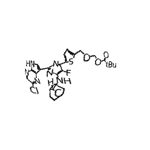 CC(C)(C)C(=O)OCOCc1ccc(-c2nc(-c3c[nH]c4ncc(Cl)nc34)nc(N[C@@H]3CC4CCC3CC4)c2F)s1